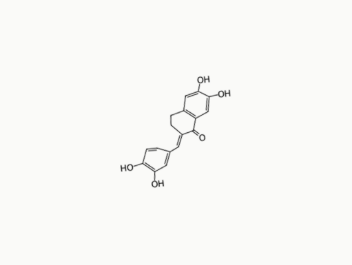 O=C1C(=Cc2ccc(O)c(O)c2)CCc2cc(O)c(O)cc21